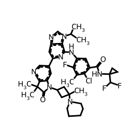 Cc1c(F)c(Nc2nc(-c3cnc4c(c3)N(C3CC(C)(N5CCCCC5)C3)C(=O)C4(C)C)cc3ncn(C(C)C)c23)cc(C(=O)NC2(C(F)F)CC2)c1Cl